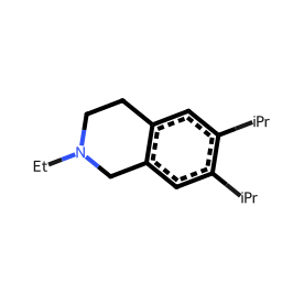 CCN1CCc2cc(C(C)C)c(C(C)C)cc2C1